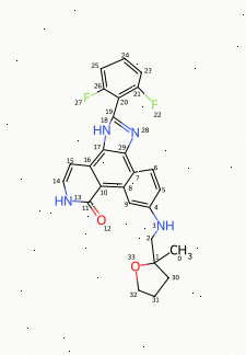 CC1(CNc2ccc3c(c2)c2c(=O)[nH]ccc2c2[nH]c(-c4c(F)cccc4F)nc32)CCCO1